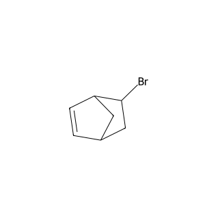 BrC1CC2C=CC1C2